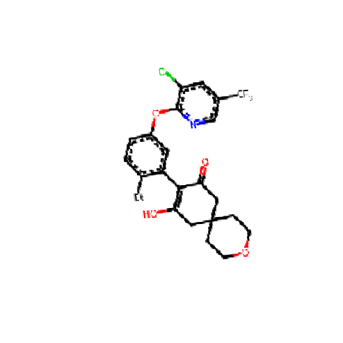 CCc1ccc(Oc2ncc(C(F)(F)F)cc2Cl)cc1C1=C(O)CC2(CCOCC2)CC1=O